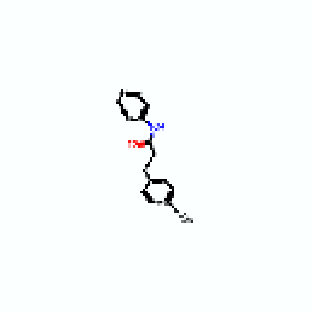 CC(C)(C)c1ccc(CCC(=O)Nc2ccccc2)cc1